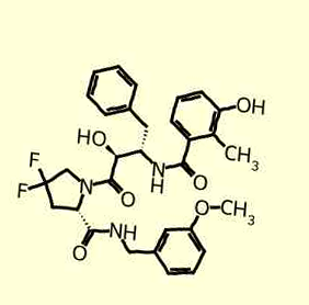 COc1cccc(CNC(=O)[C@@H]2CC(F)(F)CN2C(=O)[C@@H](O)[C@H](Cc2ccccc2)NC(=O)c2cccc(O)c2C)c1